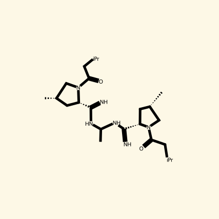 CC(C)CC(=O)N1C[C@@H](C)C[C@H]1C(=N)NC(C)NC(=N)[C@@H]1C[C@H](C)CN1C(=O)CC(C)C